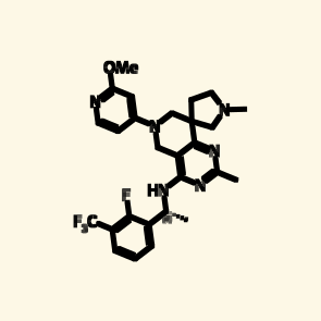 COc1cc(N2Cc3c(N[C@H](C)c4cccc(C(F)(F)F)c4F)nc(C)nc3C3(CCN(C)C3)C2)ccn1